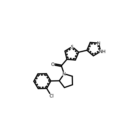 O=C(c1csc(-c2cn[nH]c2)c1)N1CCCC1c1ccccc1Cl